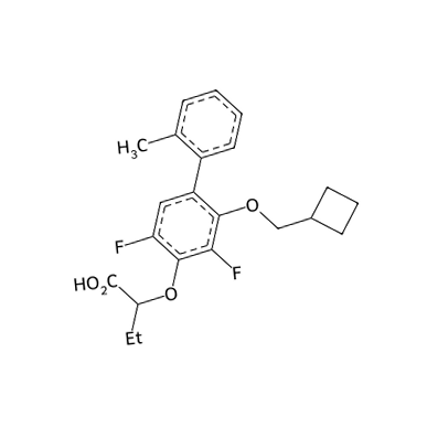 CCC(Oc1c(F)cc(-c2ccccc2C)c(OCC2CCC2)c1F)C(=O)O